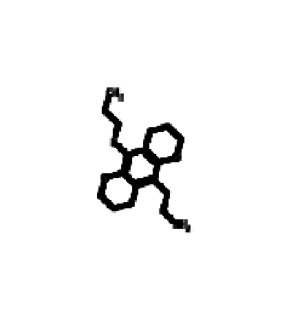 CCCSc1c2c(c(CCN)c3c1OCCC3)OCCC2